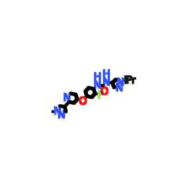 CC(C)n1cc(NC(=O)Nc2ccc(Oc3ccnc(-c4cnn(C)c4)c3)cc2F)cn1